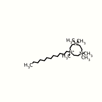 CCCCCCCCCCCC[N+]1(C)CC[N+](C)(C)CC[N+](C)(C)CC1